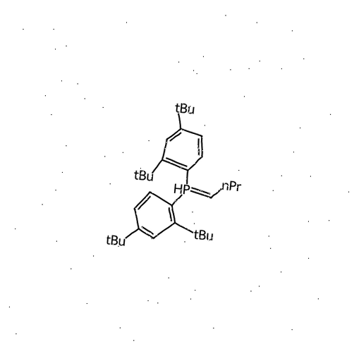 CCCC=[PH](c1ccc(C(C)(C)C)cc1C(C)(C)C)c1ccc(C(C)(C)C)cc1C(C)(C)C